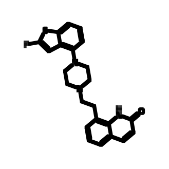 O=c1ccc2cccc(CCN3CCN(c4cccc5sc(F)cc45)CC3)c2[nH]1